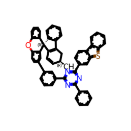 C[C@H]1C=CC2=C(C1)c1ccccc1[C@]21c2ccccc2Oc2ccc(-c3cccc(-c4nc(-c5ccccc5)nc(-c5ccc6c(c5)sc5ccccc56)n4)c3)cc21